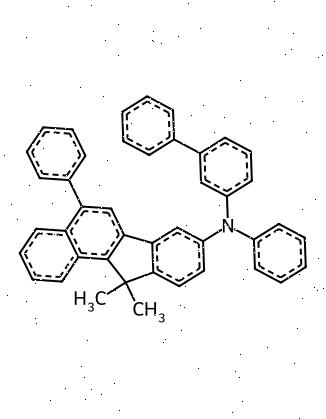 CC1(C)c2ccc(N(c3ccccc3)c3cccc(-c4ccccc4)c3)cc2-c2cc(-c3ccccc3)c3ccccc3c21